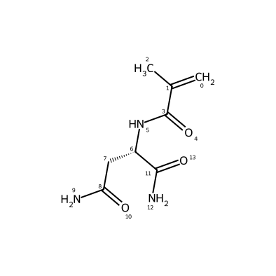 C=C(C)C(=O)N[C@@H](CC(N)=O)C(N)=O